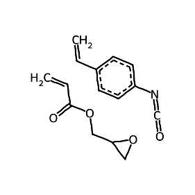 C=CC(=O)OCC1CO1.C=Cc1ccc(N=C=O)cc1